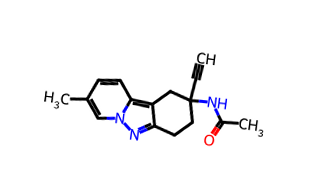 C#CC1(NC(C)=O)CCc2nn3cc(C)ccc3c2C1